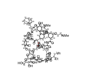 CC[C@H](CC(C)C)C(=O)N[C@H]1C(=O)C[C@@H](CC(=O)NC(=O)c2cc(OCCNC)cc(OCCNC)c2)C(=O)N[C@H]2C(=O)C[C@H]3C(=O)N[C@H](C(=O)N[C@H](C(=O)CC4C5CC6CC(C5)CC4C6)c4cc(O)cc(O)c4-c4cc3ccc4O)[C@H](O)c3ccc(c(Cl)c3)Oc3cc2cc(c3O[C@@H]2O[C@H](CO)[C@@H](O)[C@H](O)[C@H]2O)Oc2ccc(cc2Cl)[C@H]1O